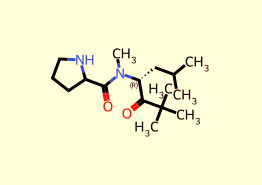 CC(C)C[C@H](C(=O)C(C)(C)C)N(C)C(=O)C1CCCN1